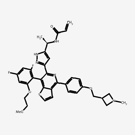 C=CC(=O)N[C@H](C)c1cc(-c2nc(-c3ccc(OCC4CN(C)C4)cc3)c3ccsc3c2-c2c(F)cc(F)cc2OCCOC)n[nH]1